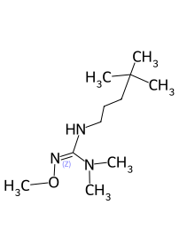 CO/N=C(/NCCCC(C)(C)C)N(C)C